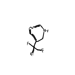 FC(F)(F)C1=CN=CNC1